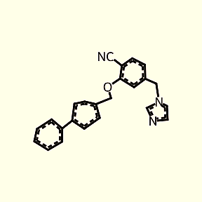 N#Cc1ccc(Cn2ccnc2)cc1OCc1ccc(-c2ccccc2)cc1